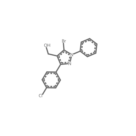 OCc1c(-c2ccc(Cl)cc2)nn(-c2ccccc2)c1Br